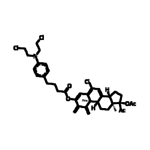 C=C1C(=C)[C@@]2(C)C(=C(Cl)C=C3[C@@H]2CC[C@@]2(C)[C@H]3CC[C@]2(OC(C)=O)C(C)=O)C=C1OC(=O)CCCc1ccc(N(CCCl)CCCl)cc1